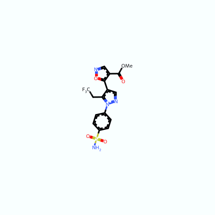 COC(=O)c1cnoc1-c1cnn(-c2ccc(S(N)(=O)=O)cc2)c1CC(F)(F)F